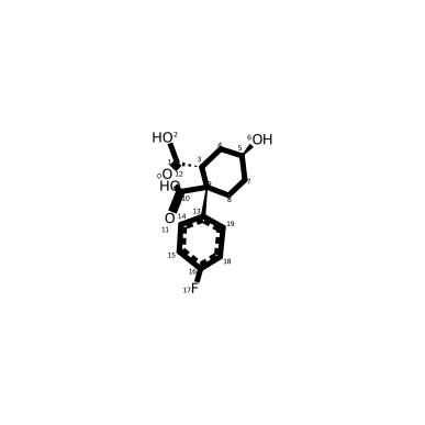 O=C(O)[C@@H]1C[C@@H](O)CC[C@@]1(C(=O)O)c1ccc(F)cc1